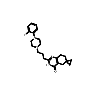 O=c1[nH]c(CCCN2CCN(c3ccccc3F)CC2)nc2c1CC1(CC2)CC1